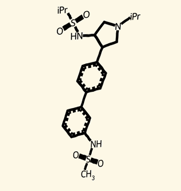 CC(C)N1CC(NS(=O)(=O)C(C)C)C(c2ccc(-c3cccc(NS(C)(=O)=O)c3)cc2)C1